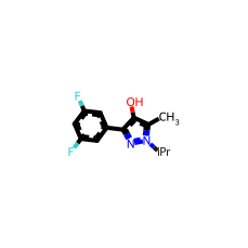 Cc1c(O)c(-c2cc(F)cc(F)c2)nn1C(C)C